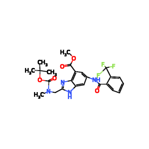 COC(=O)c1cc(NC(=O)c2ccccc2C(F)(F)F)cc2[nH]c(CN(C)C(=O)OC(C)(C)C)nc12